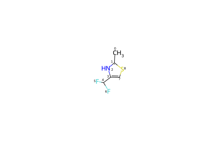 C[C]1NC(C(F)F)=CS1